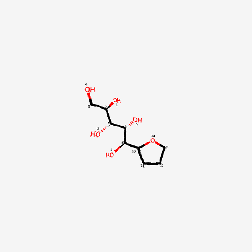 OC[C@@H](O)[C@@H](O)[C@H](O)[C@H](O)C1CCCO1